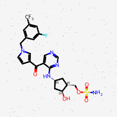 NS(=O)(=O)OC[C@H]1C[C@@H](Nc2ncncc2C(=O)c2ccn(Cc3cc(F)cc(C(F)(F)F)c3)c2)C[C@@H]1O